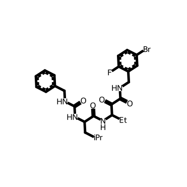 CCC(NC(=O)C(CC(C)C)NC(=O)NCc1ccccc1)C(=O)C(=O)NCc1cc(Br)ccc1F